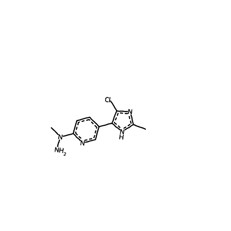 Cc1nc(Cl)c(-c2ccc(N(C)N)nc2)[nH]1